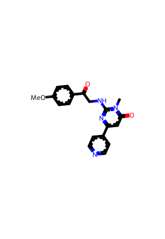 COc1ccc(C(=O)CNc2nc(-c3ccncc3)cc(=O)n2C)cc1